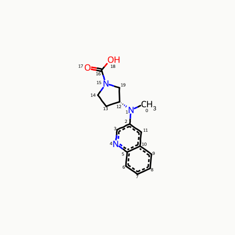 CN(c1cnc2ccccc2c1)[C@@H]1CCN(C(=O)O)C1